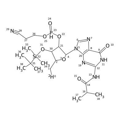 [2H]CC1OC(n2cnc3c(=O)[nH]c(NC(=O)C(C)C)nc32)C(O[PH](=O)OCCC#N)C1O[Si](C)(C)C(C)(C)C